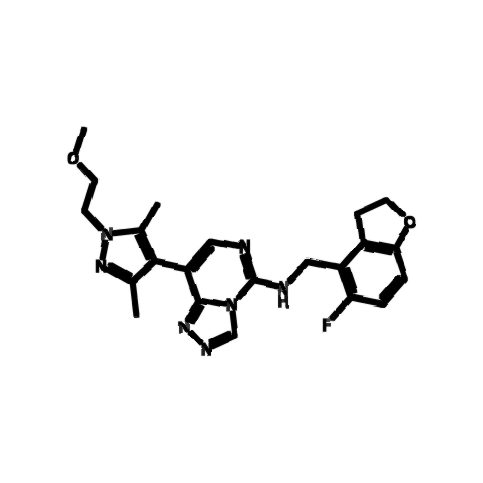 COCCn1nc(C)c(-c2cnc(NCc3c(F)ccc4c3CCO4)n3cnnc23)c1C